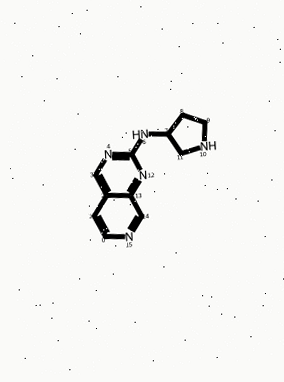 c1cc2cnc(NC3CCNC3)nc2cn1